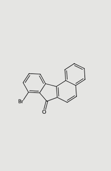 O=C1c2ccc3ccccc3c2-c2cccc(Br)c21